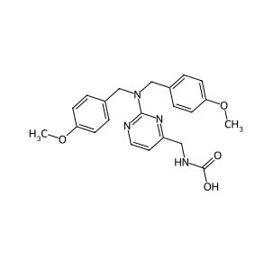 COc1ccc(CN(Cc2ccc(OC)cc2)c2nccc(CNC(=O)O)n2)cc1